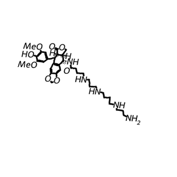 COc1cc(C2c3cc4c(cc3[C@@H](NC(=O)CCCNCCCNCCCCNCCCN)[C@H]3COC(=O)[C@H]23)OCO4)cc(OC)c1O